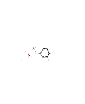 CC(C)(C)C(OC(N)=O)c1ccc(N)c(I)c1